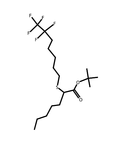 CCCCCC(SCCCCCC(F)(F)C(F)(F)F)C(=O)OC(C)(C)C